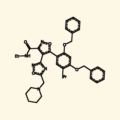 CCNC(=O)c1noc(-c2cc(C(C)C)c(OCc3ccccc3)cc2OCc2ccccc2)c1-c1noc(CN2CCCCC2)n1